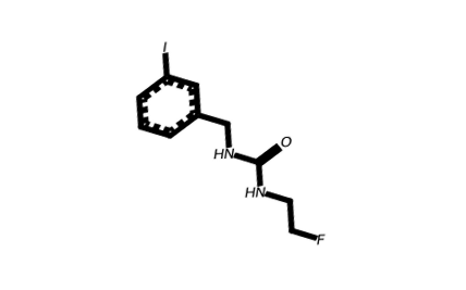 O=C(NCCF)NCc1cccc(I)c1